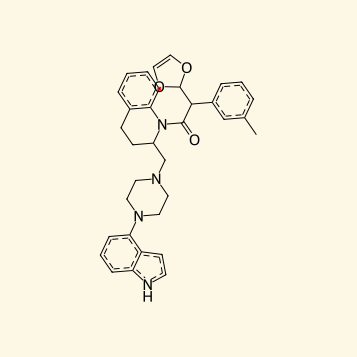 Cc1cccc(C(C(=O)N2c3ccccc3CCC2CN2CCN(c3cccc4[nH]ccc34)CC2)C2OC=CO2)c1